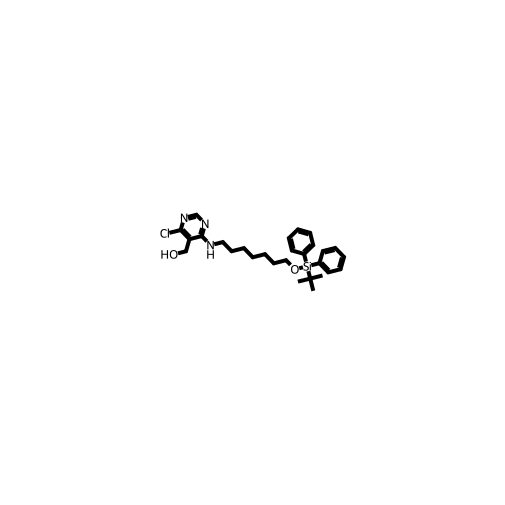 CC(C)(C)[Si](OCCCCCCCNc1ncnc(Cl)c1CO)(c1ccccc1)c1ccccc1